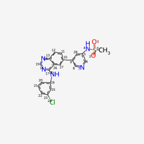 CS(=O)(=O)Nc1cncc(-c2ccc3ncnc(Nc4cccc(Cl)c4)c3c2)c1